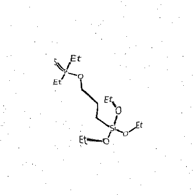 CCO[Si](CCCOP(=S)(CC)CC)(OCC)OCC